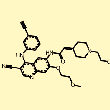 C#Cc1cccc(Nc2c(C#N)cnc3cc(OCCOC)c(NC(=O)C=C4CCN(CCOC)CC4)cc23)c1